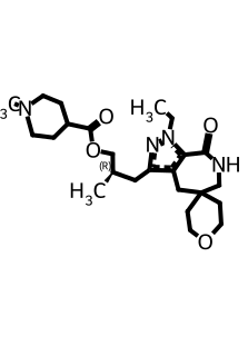 CCn1nc(C[C@@H](C)COC(=O)C2CCN(C)CC2)c2c1C(=O)NCC1(CCOCC1)C2